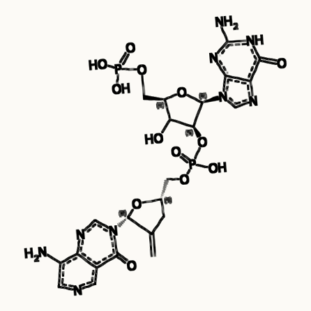 C=C1C[C@@H](COP(=O)(O)O[C@H]2C(O)[C@@H](COP(=O)(O)O)O[C@H]2n2cnc3c(=O)[nH]c(N)nc32)O[C@H]1n1cnc2c(N)cncc2c1=O